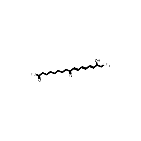 CCC(O)/C=C/C=C/C=C/C(=O)CCCCCCCC(=O)O